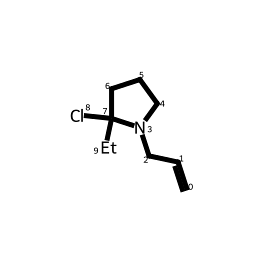 C=CCN1CCCC1(Cl)CC